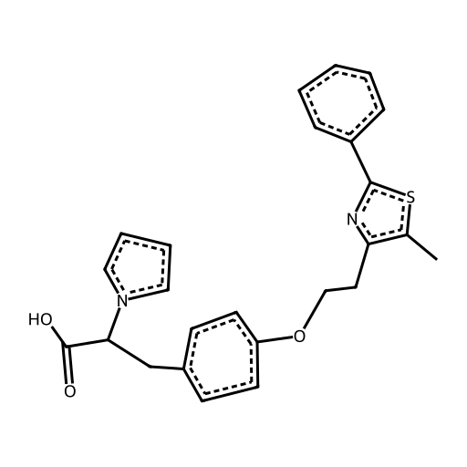 Cc1sc(-c2ccccc2)nc1CCOc1ccc(CC(C(=O)O)n2cccc2)cc1